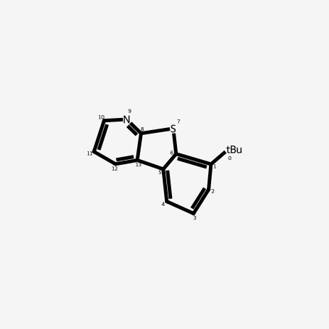 CC(C)(C)c1cccc2c1sc1ncccc12